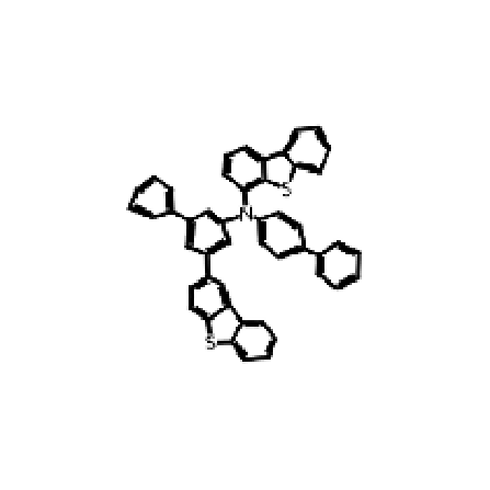 c1ccc(-c2ccc(N(c3cc(-c4ccccc4)cc(-c4ccc5sc6ccccc6c5c4)c3)c3cccc4c3sc3ccccc34)cc2)cc1